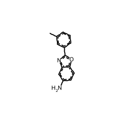 Cc1cccc(-c2nc3cc(N)ccc3o2)c1